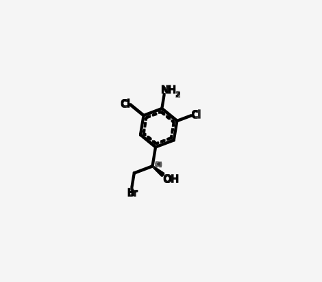 Nc1c(Cl)cc([C@@H](O)CBr)cc1Cl